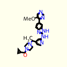 COc1cncnc1-c1ccc2nc(Nc3cc([C@@H](C)N4CCN(C(=O)C5CC5)CC4)ccn3)[nH]c2c1